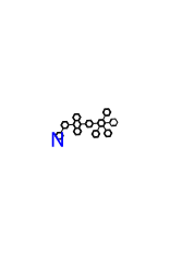 C1=CC(c2c(-c3ccccc3)cc(-c3ccc(-c4c5ccccc5c(-c5cccc(-c6ccncc6)c5)c5ccccc45)cc3)c(-c3ccccc3)c2-c2ccccc2)=CCC1